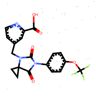 O=C(O)c1cc(CN2C(=O)N(c3ccc(OC(F)(F)F)cc3)C(=O)C23CC3)ccn1